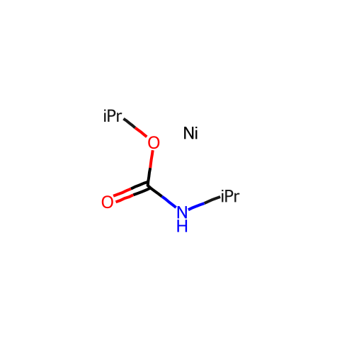 CC(C)NC(=O)OC(C)C.[Ni]